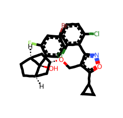 O[C@@]1(c2ccc(Br)cc2F)[C@@H]2CC[C@H]1C[C@H](OCc1c(-c3c(Cl)cccc3Cl)noc1C1CC1)C2